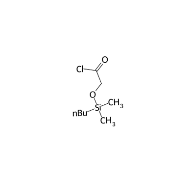 CCCC[Si](C)(C)OCC(=O)Cl